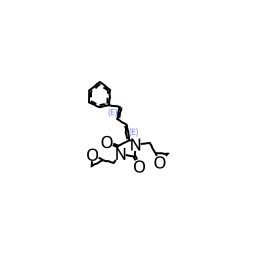 O=C1/C(=C\C=C\c2ccccc2)N(CC2CO2)C(=O)N1CC1CO1